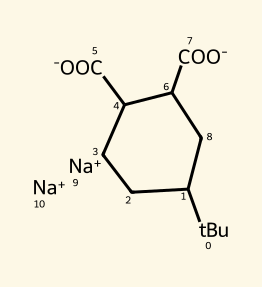 CC(C)(C)C1CCC(C(=O)[O-])C(C(=O)[O-])C1.[Na+].[Na+]